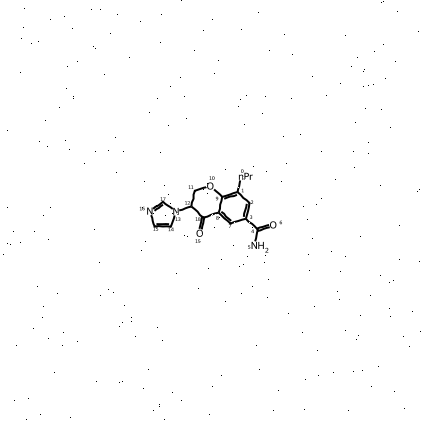 CCCc1cc(C(N)=O)cc2c1OCC(n1ccnc1)C2=O